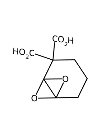 O=C(O)C1(C(=O)O)CCCC23OC21O3